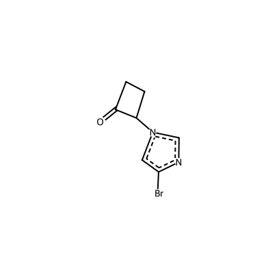 O=C1CCC1n1cnc(Br)c1